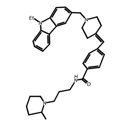 CCn1c2ccccc2c2cc(CN3CCC(=Cc4ccc(C(=O)NCCCN5CCCCC5C)cc4)CC3)ccc21